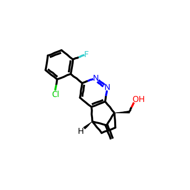 C=C1[C@@H]2CC[C@@]1(CO)c1nnc(-c3c(F)cccc3Cl)cc12